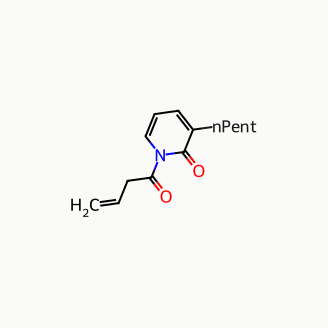 C=CCC(=O)n1cccc(CCCCC)c1=O